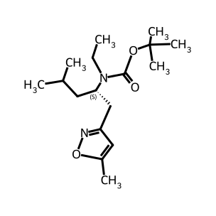 CCN(C(=O)OC(C)(C)C)[C@H](Cc1cc(C)on1)CC(C)C